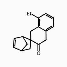 CCc1cccc2c1CC1(CC3C=CC1C3)C(=O)C2